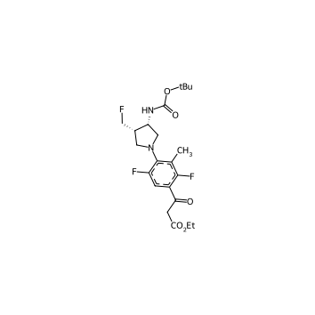 CCOC(=O)CC(=O)c1cc(F)c(N2C[C@H](CF)[C@H](NC(=O)OC(C)(C)C)C2)c(C)c1F